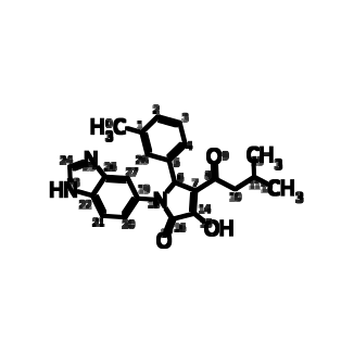 Cc1cccc(C2C(C(=O)CC(C)C)=C(O)C(=O)N2c2ccc3[nH]cnc3c2)c1